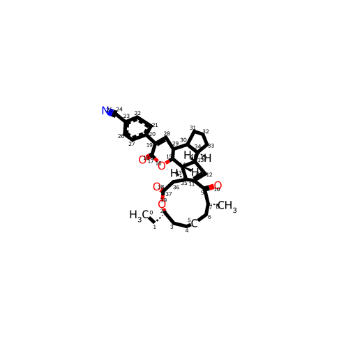 CC[C@H]1CCCC[C@@H](C)C(=O)C2=C[C@@H]3[C@@H](C4OC(=O)C(c5ccc(C#N)cc5)=CC4C4CCC[C@H]43)[C@@H]2CC(=O)O1